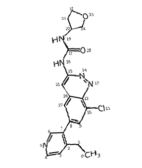 CCc1ccncc1-c1cc(Cl)c2nnc(NC(=O)NC3CCOC3)cc2c1